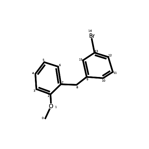 COc1ccccc1Cc1[c]ccc(Br)c1